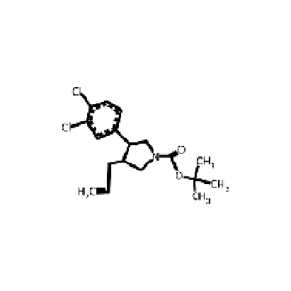 C=CCC1CN(C(=O)OC(C)(C)C)CC1c1ccc(Cl)c(Cl)c1